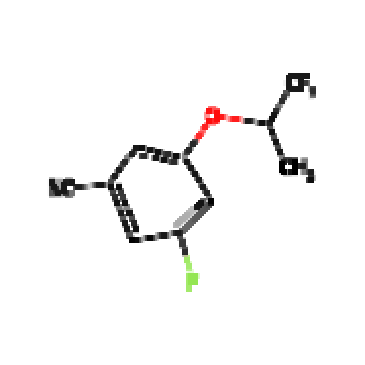 CC(Oc1cc(F)cc(C#N)c1)C(F)(F)F